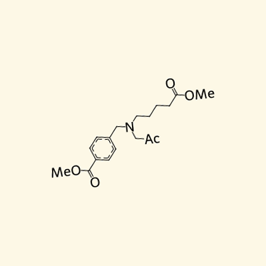 COC(=O)CCCCN(CC(C)=O)Cc1ccc(C(=O)OC)cc1